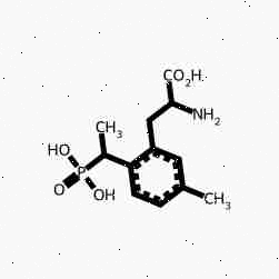 Cc1ccc(C(C)P(=O)(O)O)c(CC(N)C(=O)O)c1